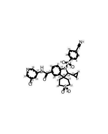 N#Cc1ccc(S(=O)(=O)N2c3ccc(C(=O)Nc4cncc(Cl)c4)cc3C3(CCS(=O)(=O)CC3)C2C2CC2)cc1